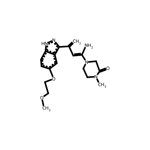 C=C(/C=C(\N)N1CCN(C)C(=O)C1)c1n[nH]c2ccc(OCCOC)cc12